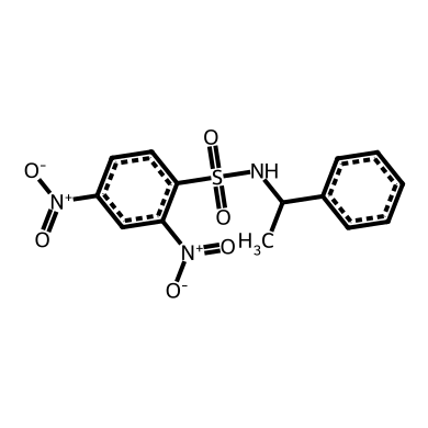 CC(NS(=O)(=O)c1ccc([N+](=O)[O-])cc1[N+](=O)[O-])c1ccccc1